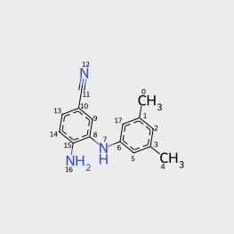 Cc1cc(C)cc(Nc2cc(C#N)ccc2N)c1